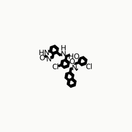 CC(NCc1cccc2[nH]c(=O)ncc12)c1cc(Cl)ccc1OC(c1cc(Cl)ccc1O)N(C)Cc1ccc2ccccc2c1